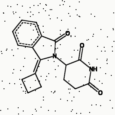 O=C1CCC(N2C(=O)c3ccccc3C2=C2CCC2)C(=O)N1